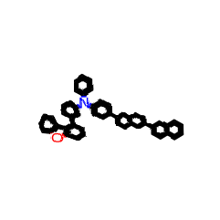 c1ccc(N(c2ccc(-c3ccc4cc(-c5ccc6ccccc6c5)ccc4c3)cc2)c2cccc(-c3cccc4oc5ccccc5c34)c2)cc1